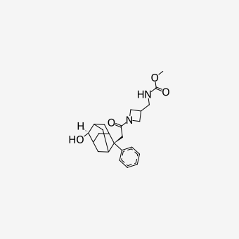 COC(=O)NCC1CN(C(=O)C[C@]2(c3ccccc3)C3CC4CC2CC(C3)[C@@H]4O)C1